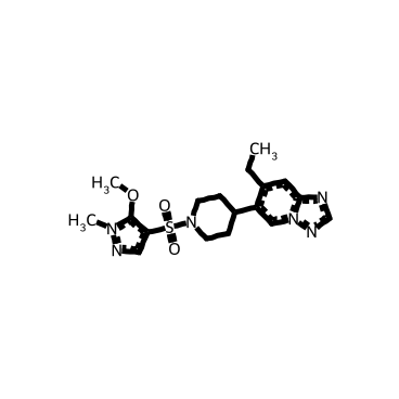 CCc1cc2ncnn2cc1C1CCN(S(=O)(=O)c2cnn(C)c2OC)CC1